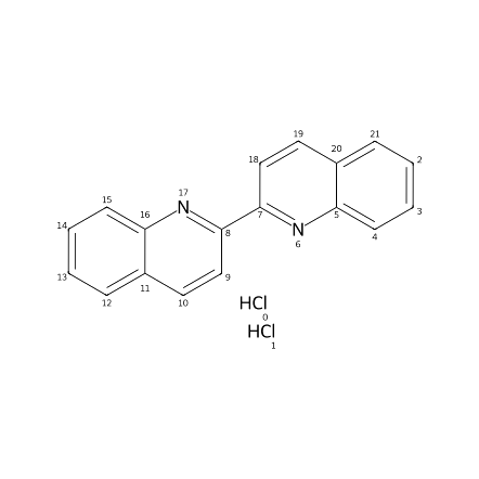 Cl.Cl.c1ccc2nc(-c3ccc4ccccc4n3)ccc2c1